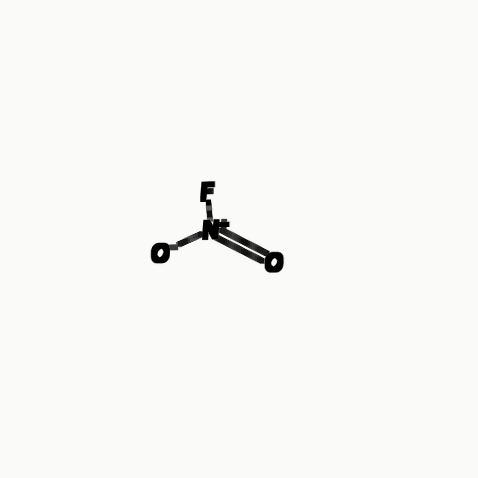 O=[N+]([O-])F